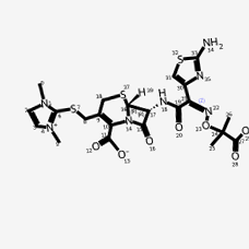 Cn1cc[n+](C)c1SCC1=C(C(=O)[O-])N2C(=O)[C@@H](NC(=O)/C(=N\OC(C)(C)C(=O)O)c3csc(N)n3)[C@H]2SC1